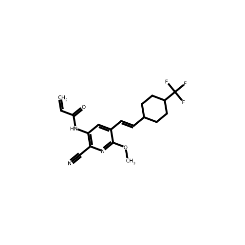 C=CC(=O)Nc1cc(/C=C/C2CCC(C(F)(F)F)CC2)c(OC)nc1C#N